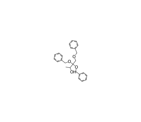 CC(O)C(COCc1ccccc1)(OCc1ccccc1)OCc1ccccc1